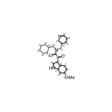 COc1ccc2c(C(=O)C(=O)N(Cc3cccnc3)CC3CCCCC3)c[nH]c2c1